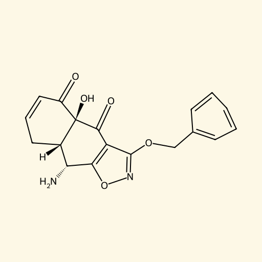 N[C@H]1c2onc(OCc3ccccc3)c2C(=O)[C@@]2(O)C(=O)C=CC[C@@H]12